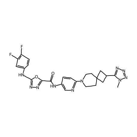 Cn1nnnc1C1CC2(CCN(c3ccc(NC(=O)c4nnc(Nc5ccc(F)c(F)c5)o4)cn3)CC2)C1